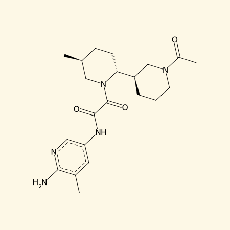 CC(=O)N1CCC[C@@H]([C@H]2CC[C@H](C)CN2C(=O)C(=O)Nc2cnc(N)c(C)c2)C1